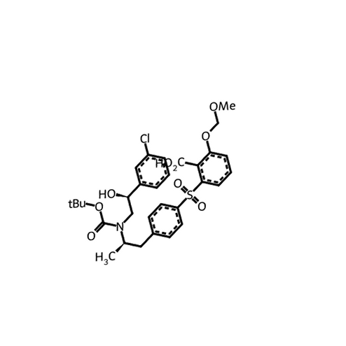 COCOc1cccc(S(=O)(=O)c2ccc(C[C@@H](C)N(C[C@@H](O)c3cccc(Cl)c3)C(=O)OC(C)(C)C)cc2)c1C(=O)O